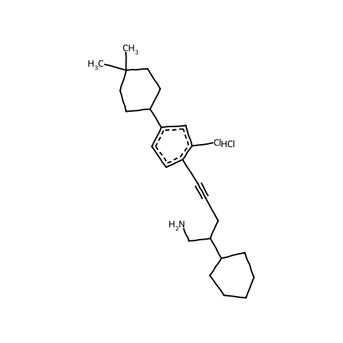 CC1(C)CCC(c2ccc(C#CCC(CN)C3CCCCC3)c(Cl)c2)CC1.Cl